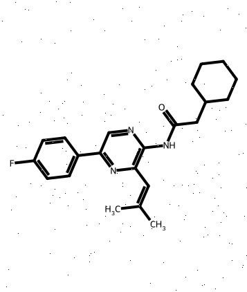 CC(C)=Cc1nc(-c2ccc(F)cc2)cnc1NC(=O)CC1CCCCC1